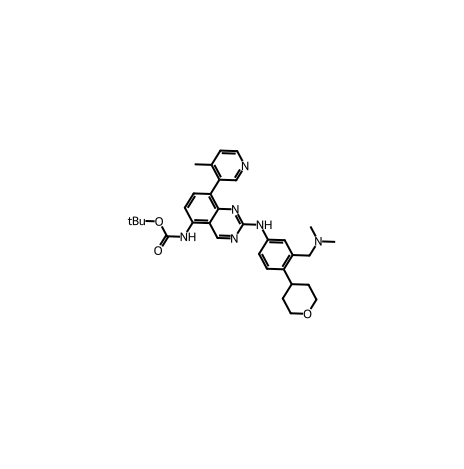 Cc1ccncc1-c1ccc(NC(=O)OC(C)(C)C)c2cnc(Nc3ccc(C4CCOCC4)c(CN(C)C)c3)nc12